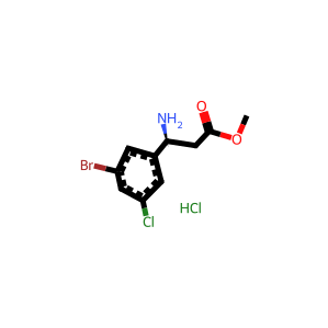 COC(=O)C[C@H](N)c1cc(Cl)cc(Br)c1.Cl